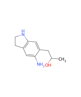 CC(O)Cc1cc2c(cc1N)CCN2